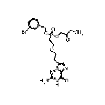 CCC(=O)COP(=O)(CCOCCn1cnc2c(=O)[nH]c(N)nc21)OCc1cccc(Br)c1